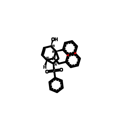 O=S(=O)(c1ccccc1)[C@@H]1C[C@@]2(c3ccccc3)[C@@H](O)C=C[C@@H]1N2Cc1ccccc1